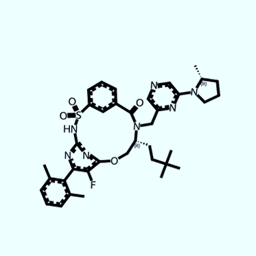 Cc1cccc(C)c1-c1nc2nc(c1F)OC[C@@H](CCC(C)(C)C)N(Cc1cncc(N3CCC[C@H]3C)n1)C(=O)c1cccc(c1)S(=O)(=O)N2